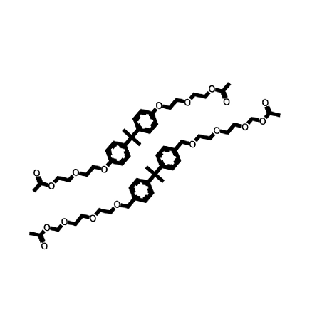 CC(=O)OCCOCCOc1ccc(C(C)(C)c2ccc(OCCOCCOC(C)=O)cc2)cc1.CC(=O)OCOCCOCCOCc1ccc(C(C)(C)c2ccc(COCCOCCOCOC(C)=O)cc2)cc1